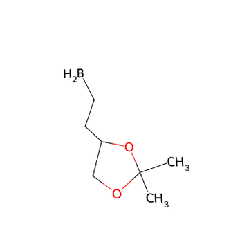 BCCC1COC(C)(C)O1